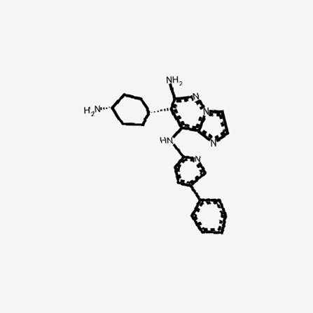 Nc1nn2ccnc2c(Nc2ccc(-c3ccccc3)cn2)c1[C@H]1CC[C@@H](N)CC1